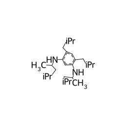 CC(C)Cc1cc(CC(C)C)c(NC(C)CC(C)C)cc1NC(C)CC(C)C